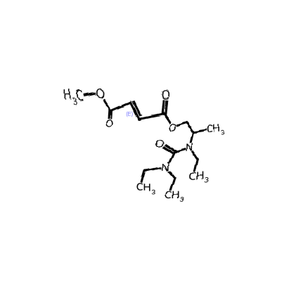 CCN(CC)C(=O)N(CC)C(C)COC(=O)/C=C/C(=O)OC